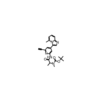 C#Cc1cc(-c2cnc3cccc(C)n23)cc(NC(=O)C(C)N(C)C(=O)OC(C)(C)C)n1